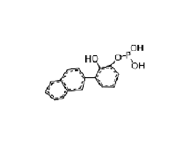 Oc1c(OP(O)O)cccc1-c1ccc2ccccc2c1